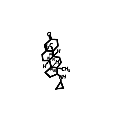 C[C@]12CCC(=O)C=C1CC[C@@H]1[C@H]2CC[C@]2(C)C(NC3CC3)CC[C@@H]12